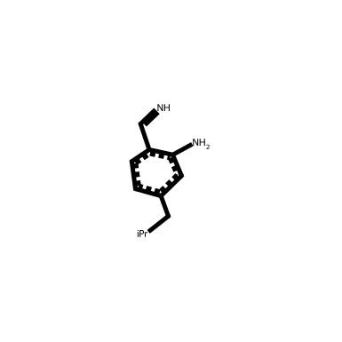 CC(C)Cc1ccc(C=N)c(N)c1